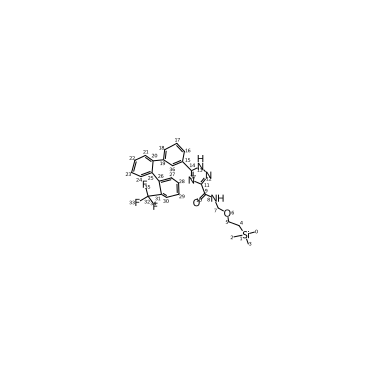 C[Si](C)(C)CCOCNC(=O)c1n[nH]c(-c2cccc(-c3ccccc3-c3ccccc3C(F)(F)F)c2)n1